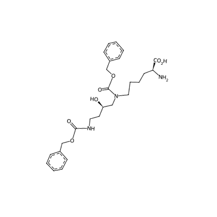 N[C@@H](CCCCN(C[C@H](O)CCNC(=O)OCc1ccccc1)C(=O)OCc1ccccc1)C(=O)O